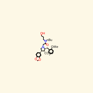 CCCCN(CCCO)C(=O)CN1C[C@H](c2ccc3c(c2)OCO3)[C@@H](C(=O)O)[C@@H]1Cc1ccccc1OC